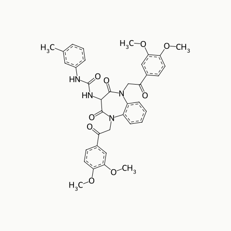 COc1ccc(C(=O)CN2C(=O)C(NC(=O)Nc3cccc(C)c3)C(=O)N(CC(=O)c3ccc(OC)c(OC)c3)c3ccccc32)cc1OC